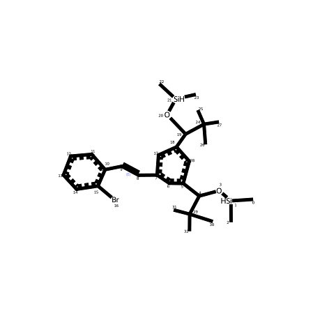 C[SiH](C)OC(c1cc(/C=C/c2[c]cccc2Br)cc(C(O[SiH](C)C)C(C)(C)C)c1)C(C)(C)C